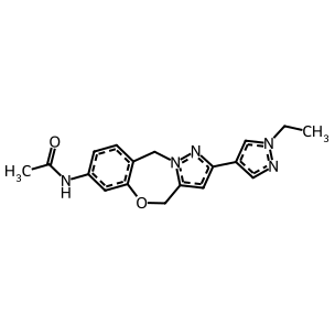 CCn1cc(-c2cc3n(n2)Cc2ccc(NC(C)=O)cc2OC3)cn1